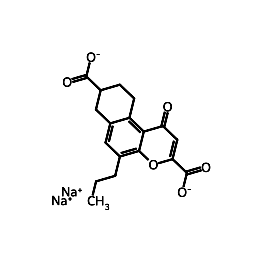 CCCc1cc2c(c3c(=O)cc(C(=O)[O-])oc13)CCC(C(=O)[O-])C2.[Na+].[Na+]